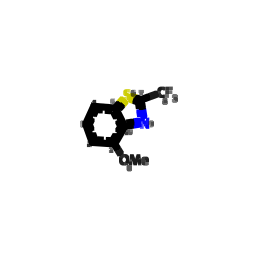 COc1cccc2sc(C(F)(F)F)nc12